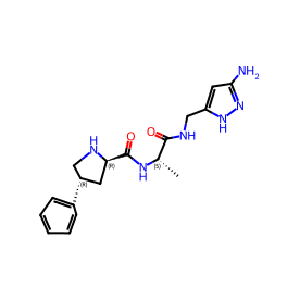 C[C@H](NC(=O)[C@H]1C[C@H](c2ccccc2)CN1)C(=O)NCc1cc(N)n[nH]1